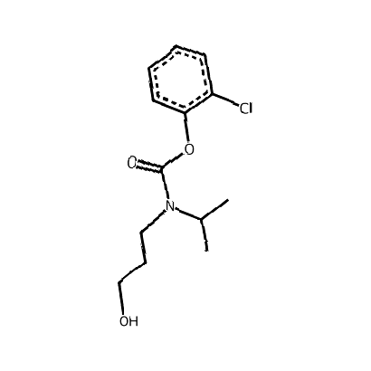 CC(C)N(CCCO)C(=O)Oc1ccccc1Cl